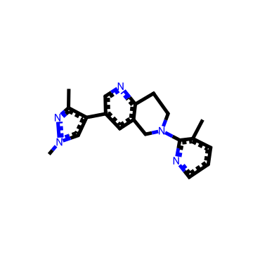 Cc1cccnc1N1CCc2ncc(-c3cn(C)nc3C)cc2C1